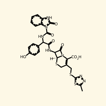 Cc1nnc(SCC2=C(C(=O)O)N3C(=O)C(NC(=O)C(NC(=O)n4c(=O)[nH]c5ccccc54)c4ccc(O)cc4)[C@@H]3SC2)s1